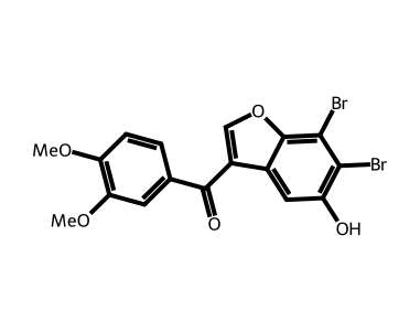 COc1ccc(C(=O)c2coc3c(Br)c(Br)c(O)cc23)cc1OC